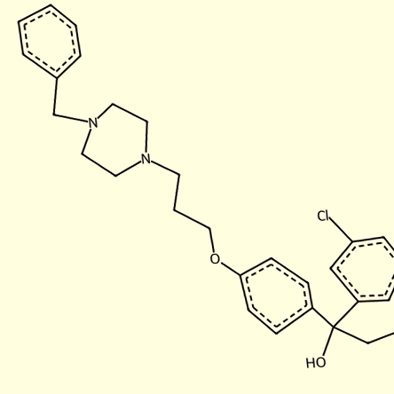 CCC(O)(c1ccc(OCCCN2CCN(Cc3ccccc3)CC2)cc1)c1cccc(Cl)c1